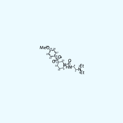 CCN(CC)CCNC(=O)N1CCCC(S(=O)(=O)c2ccc(OC)cc2)C1